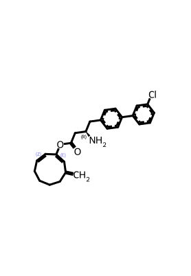 C=C1/C=C(OC(=O)C[C@H](N)Cc2ccc(-c3cccc(Cl)c3)cc2)\C=C/CCCC1